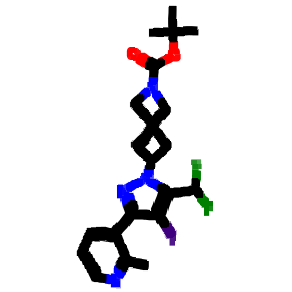 Cc1ncccc1-c1nn(C2CC3(C2)CN(C(=O)OC(C)(C)C)C3)c(C(F)F)c1I